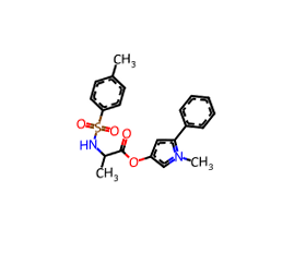 Cc1ccc(S(=O)(=O)NC(C)C(=O)Oc2cc(-c3ccccc3)n(C)c2)cc1